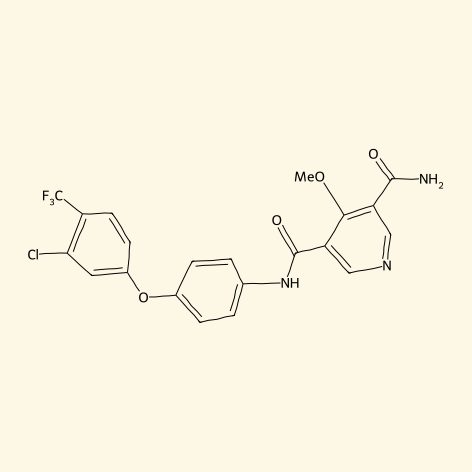 COc1c(C(N)=O)cncc1C(=O)Nc1ccc(Oc2ccc(C(F)(F)F)c(Cl)c2)cc1